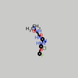 CN(C)CC(=O)NCCCC(=O)Nc1ccc2ncnc(Nc3ccc(OCc4cccc(F)c4)c(Cl)c3)c2c1